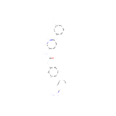 C=C/C(=C\C=N/N)c1ccc(CC(=O)Nc2ccc(-c3cccc(F)c3)nc2)cc1